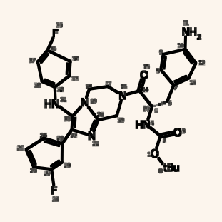 CC(C)(C)OC(=O)N[C@@H](Cc1ccc(N)cc1)C(=O)N1CCn2c(nc(-c3cccc(F)c3)c2Nc2ccc(F)cc2)C1